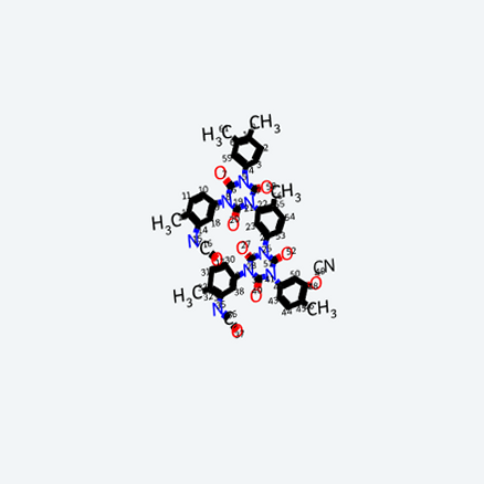 Cc1ccc(-n2c(=O)n(-c3ccc(C)c(N=C=O)c3)c(=O)n(-c3cc(-n4c(=O)n(-c5ccc(C)c(N=C=O)c5)c(=O)n(-c5ccc(C)c(OC#N)c5)c4=O)ccc3C)c2=O)cc1C